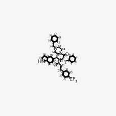 O=C([C@H](Cc1ccccc1)N(Cc1ccc2[nH]ccc2c1)C(=O)C=Cc1ccc(C(F)(F)F)cc1)N1CCN(Cc2ccccc2)CC1